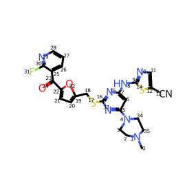 CN1CCN(c2cc(Nc3ncc(C#N)s3)nc(SCc3ccc(C(=O)c4cccnc4F)o3)n2)CC1